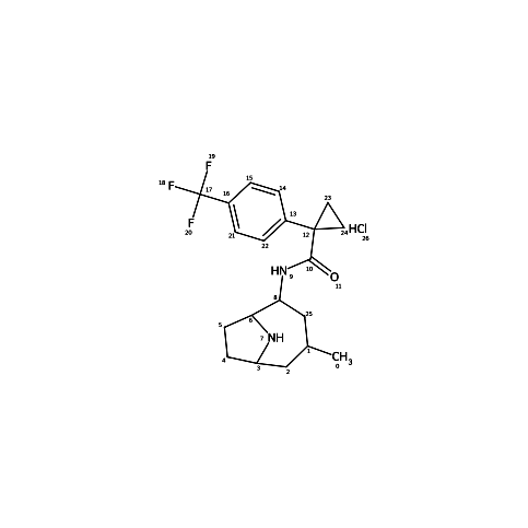 CC1CC2CCC(N2)C(NC(=O)C2(c3ccc(C(F)(F)F)cc3)CC2)C1.Cl